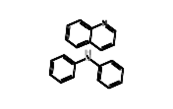 c1ccc(Nc2ccccc2)cc1.c1ccc2ncccc2c1